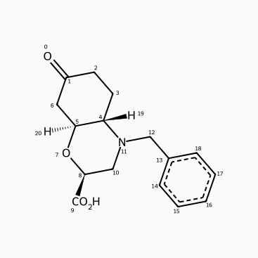 O=C1CC[C@H]2[C@H](C1)O[C@H](C(=O)O)CN2Cc1ccccc1